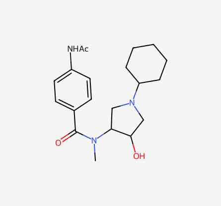 CC(=O)Nc1ccc(C(=O)N(C)C2CN(C3CCCCC3)CC2O)cc1